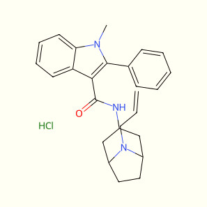 C=CCN1C2CCC1CC(NC(=O)c1c(-c3ccccc3)n(C)c3ccccc13)C2.Cl